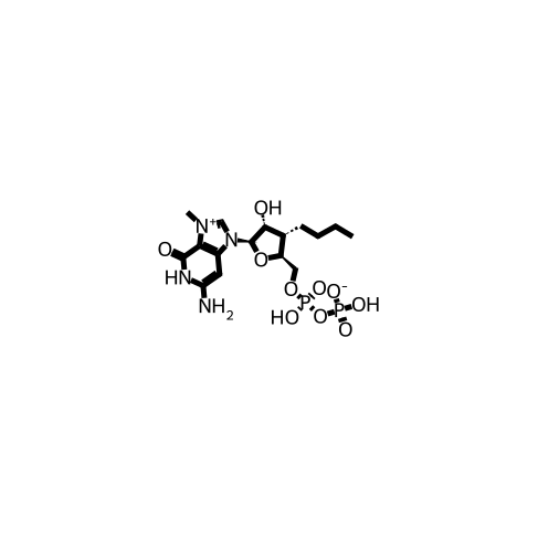 CCCC[C@H]1[C@@H](O)[C@H](n2c[n+](C)c3c(=O)[nH]c(N)cc32)O[C@@H]1COP(=O)(O)OP(=O)([O-])O